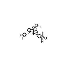 CCC[C@H](COc1ccc2[nH]c(=O)[nH]c2c1)NC(=O)c1cccn(Cc2ccc(F)c(F)c2)c1=O